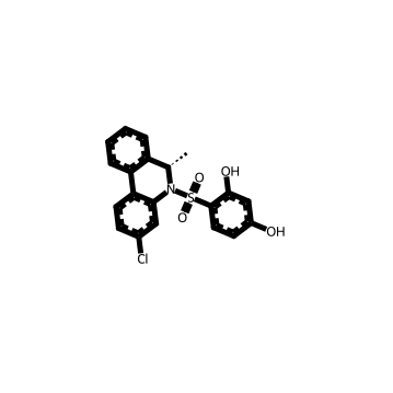 C[C@H]1c2ccccc2-c2ccc(Cl)cc2N1S(=O)(=O)c1ccc(O)cc1O